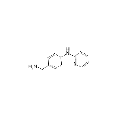 NCc1ccc(Nc2ncccn2)cc1